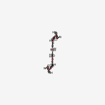 N#Cc1cc(Cl)cc2c1CC(N1CCNCC1)[C@H]2Oc1ccc(S(=O)(=O)NCCOCCOCCNC(=O)NCCCCNC(=O)NCCOCCOCCNS(=O)(=O)c2ccc(O[C@H]3c4cc(Cl)cc(C#N)c4C[C@@H]3N3CCNCC3)cc2)cc1